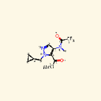 COC(=O)c1c(N(C)C(=O)C(F)(F)F)cnn1CC1CC1